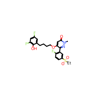 CCS(=O)(=O)c1ccc(F)c(-c2nn(C)c(=O)cc2OCCCCc2cc(F)cc(F)c2O)c1